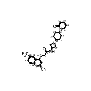 N#Cc1cc(NCC(=O)NC2CN([C@H]3CC[C@H](n4ccccc4=O)CC3)C2)c2cc(C(F)(F)F)ccc2n1